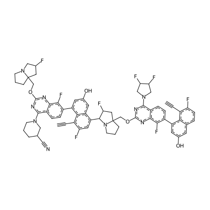 C#Cc1c(F)ccc2cc(O)cc(-c3ccc4c(N5CC(F)C(F)C5)nc(OCC56CCCN5C(c5cc(F)c(C#C)c7c(-c8ccc9c(N%10CCCC(C#N)C%10)nc(OCC%10%11CCCN%10CC(F)C%11)nc9c8F)cc(O)cc57)C(F)C6)nc4c3F)c12